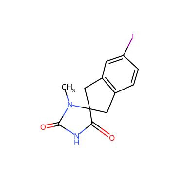 CN1C(=O)NC(=O)C12Cc1ccc(I)cc1C2